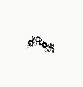 COc1cc(/C=C2\O[C@@H](C)CN([C@H](C)c3ccc(F)nc3)C2=O)ccc1-n1cnc(C)c1